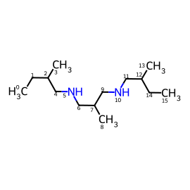 CCC(C)CNCC(C)CNCC(C)CC